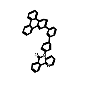 O=c1c2ccccc2c2ncccc2n1-c1ccc(-c2cccc(-c3ccc4c5ccccc5c5ccccc5c4c3)c2)cc1